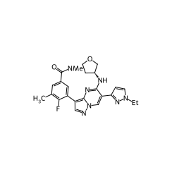 CCn1ccc(-c2cn3ncc(-c4cc(C(=O)NC)cc(C)c4F)c3nc2N[C@H]2CCOC2)n1